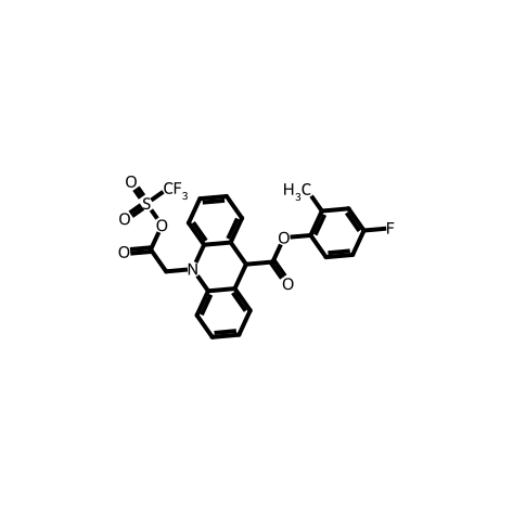 Cc1cc(F)ccc1OC(=O)C1c2ccccc2N(CC(=O)OS(=O)(=O)C(F)(F)F)c2ccccc21